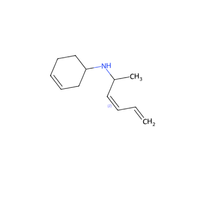 C=C/C=C\C(C)NC1CC=CCC1